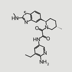 CCc1cc(NC(=O)C(=O)N2C[C@@H](C)CC[C@@H]2c2ccc3sc(NC)nc3c2)cnc1N